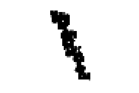 CCOc1nccc(-c2cc3cnc(NC(=O)c4cnn([C@H]5C[C@H](O)C5)c4)cc3[nH]2)n1